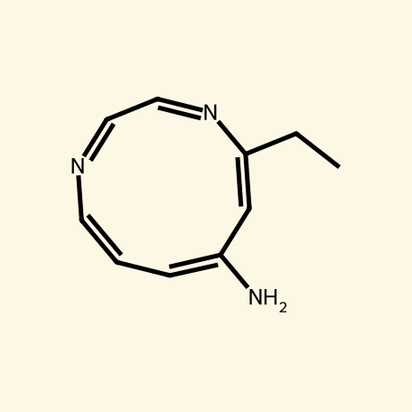 CCc1cc(N)cccnccn1